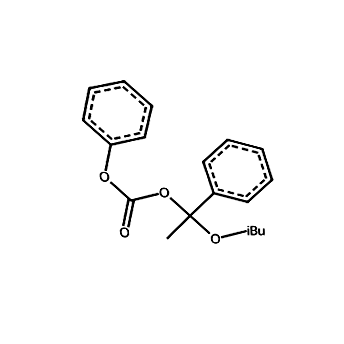 CCC(C)OC(C)(OC(=O)Oc1ccccc1)c1ccccc1